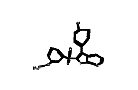 COc1cccc(S(=O)(=O)c2sc3ncccc3c2-c2ccc(Cl)cc2)c1